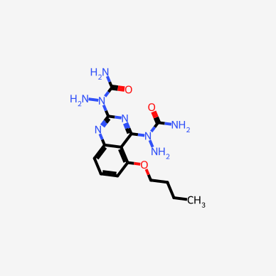 CCCCOc1cccc2nc(N(N)C(N)=O)nc(N(N)C(N)=O)c12